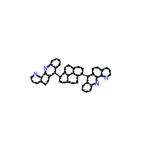 c1cnc2c(c1)ccc1c(-c3ccc4ccc5c(-c6c7ccccc7nc7c6ccc6cccnc67)ccc6ccc3c4c65)c3ccccc3nc12